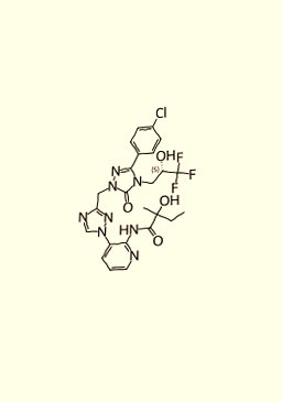 CCC(C)(O)C(=O)Nc1ncccc1-n1cnc(Cn2nc(-c3ccc(Cl)cc3)n(C[C@H](O)C(F)(F)F)c2=O)n1